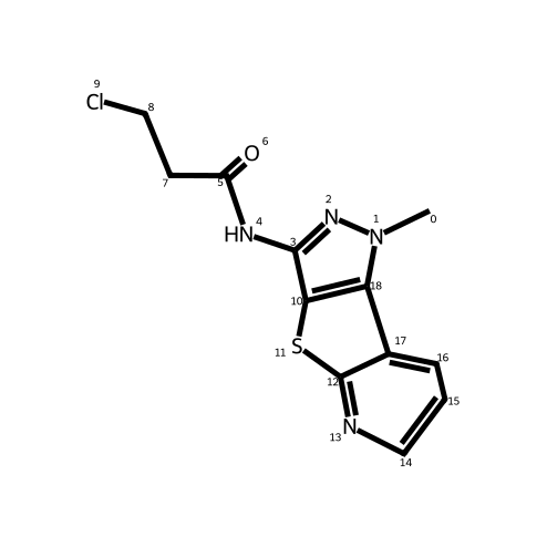 Cn1nc(NC(=O)CCCl)c2sc3ncccc3c21